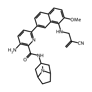 C=C(C#N)CNc1c(OC)ccc2ccc(-c3ccc(N)c(C(=O)NC4CC5CCC(C4)N5C)n3)cc12